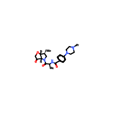 CO[C@@H]1CN(C(=O)C(NC(=O)c2ccc(N3CCN(C(C)C)CC3)cc2)C(C)(C)C)[C@@H]2C(=O)CO[C@@H]21